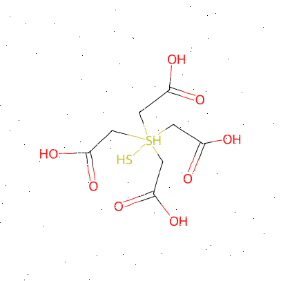 O=C(O)C[SH](S)(CC(=O)O)(CC(=O)O)CC(=O)O